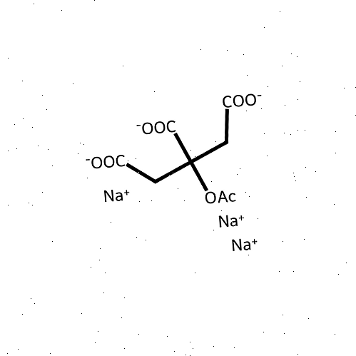 CC(=O)OC(CC(=O)[O-])(CC(=O)[O-])C(=O)[O-].[Na+].[Na+].[Na+]